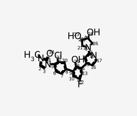 Cn1ccn(-c2ccc(-c3cc(F)cc(-c4ccnc(N5C[C@@H](O)[C@@H](O)C5)c4)c3O)cc2Cl)c1=O